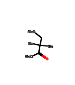 COCC(C(=O)OC)(C(C)(C)C)C(C)(C)C